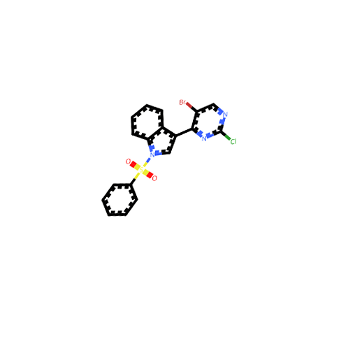 O=S(=O)(c1ccccc1)n1cc(-c2nc(Cl)ncc2Br)c2ccccc21